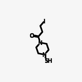 O=C(CCI)N1CCN(S)CC1